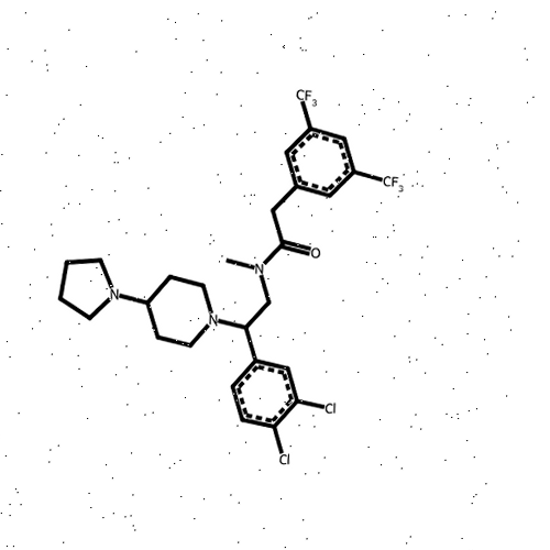 CN(CC(c1ccc(Cl)c(Cl)c1)N1CCC(N2CCCC2)CC1)C(=O)Cc1cc(C(F)(F)F)cc(C(F)(F)F)c1